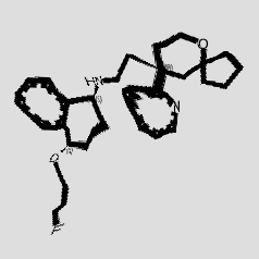 FCCO[C@H]1CC[C@H](NCC[C@@]2(c3ccccn3)CCOC3(CCCC3)C2)c2ccccc21